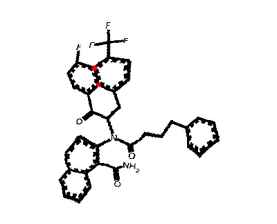 NC(=O)c1c(N(C(=O)CCCc2ccccc2)C(Cc2ccc(C(F)(F)F)cc2)C(=O)c2ccc(F)cc2)ccc2ccccc12